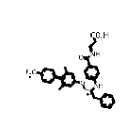 Cc1cc(OC[C@@H](Cc2ccccc2)Nc2ccc(C(=O)NCCC(=O)O)cc2)cc(C)c1-c1ccc(C(F)(F)F)cc1